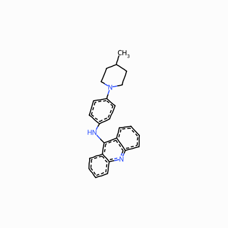 CC1CCN(c2ccc(Nc3c4ccccc4nc4ccccc34)cc2)CC1